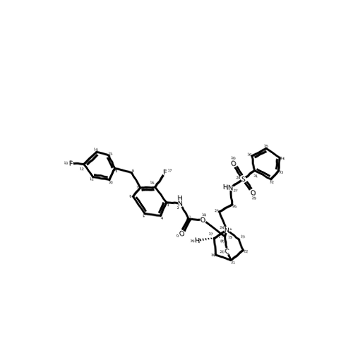 O=C(Nc1cccc(Cc2ccc(F)cc2)c1F)O[C@@H]1CC2CC[N+]1(CCNS(=O)(=O)c1ccccc1)CC2